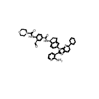 Nc1ncccc1-c1nc2ccc(-c3ccccc3)nc2n1-c1ccc2c(c1)CC[C@@H]2NC(=O)c1ccc(NC(=O)N2CCOCC2)c(C=O)c1